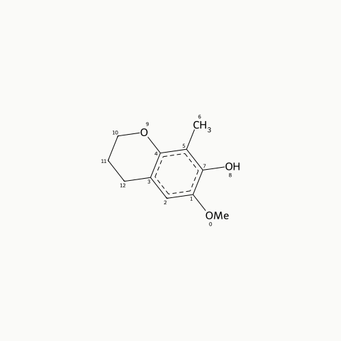 COc1cc2c(c(C)c1O)OCCC2